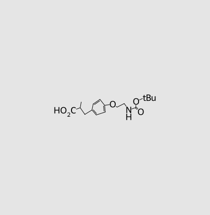 CC(Cc1ccc(OCCNC(=O)OC(C)(C)C)cc1)C(=O)O